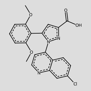 COc1cccc(OC)c1-c1cc(C(=O)O)nn1-c1ccnc2cc(Cl)ccc12